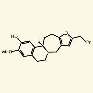 COc1cc2c(cc1O)[C@@H]1CCc3oc(CC(C)C)cc3CN1CC2